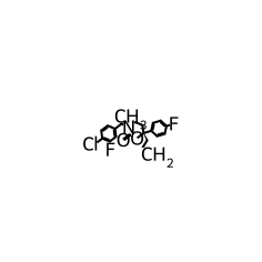 C=CC[C@]1(c2ccc(F)cc2)CCN([C@@H](C)c2ccc(Cl)c(F)c2)C(=O)O1